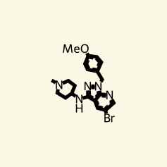 COc1ccc(Cn2nc(NC3CCN(C)CC3)c3cc(Br)cnc32)cc1